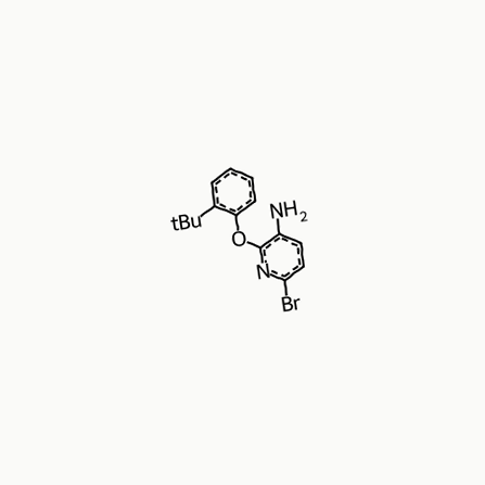 CC(C)(C)c1ccccc1Oc1nc(Br)ccc1N